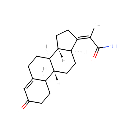 CC(C(N)=O)=C1CC[C@H]2[C@@H]3CCC4=CC(=O)CC[C@]4(C)[C@H]3CC[C@]12C